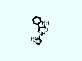 O=C1Nc2ccccc2C1=CNc1ccn[nH]1